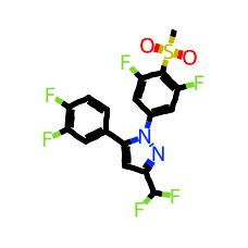 CS(=O)(=O)c1c(F)cc(-n2nc(C(F)F)cc2-c2ccc(F)c(F)c2)cc1F